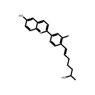 CC(O)CCCC=Cc1ccc(-c2ccc3cc(O)ccc3n2)cc1F